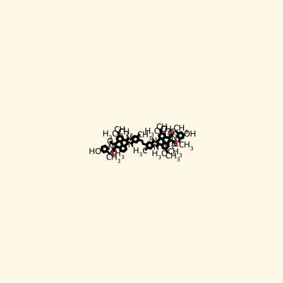 Cc1cc2nc3c4cc(C(C)(C)C)cc5c6c(=O)n(-c7ccc(O)cc7C(C)C)c(=O)c6c6cccc(c3nc2cc1CCc1cc2nc3c7cc(C(C)(C)C)cc8c9c(=O)n(-c%10c(C(C)C)cc(O)cc%10C(C)C)c(=O)c9c9cc(C(C)(C)C)cc(c3nc2cc1C)c9c78)c6c45